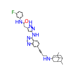 CC1C2CC3(C)CC1CC(NCCC#Cc1ccc4c(Nc5cc(CC(=O)Nc6cccc(F)c6)[nH]n5)ncnc4c1)(C2)C3